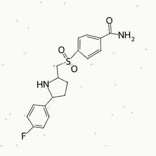 NC(=O)c1ccc(S(=O)(=O)[CH]C2CCC(c3ccc(F)cc3)N2)cc1